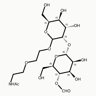 CC(=O)NCCOCCOC1O[C@@H](CO)[C@@H](O)[C@H](O)[C@@H]1O[C@H]1O[C@H](CO)[C@@H](OC=O)[C@H](O)[C@@H]1O